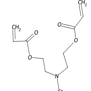 C=CC(=O)OCCN(CC)CCOC(=O)C=C